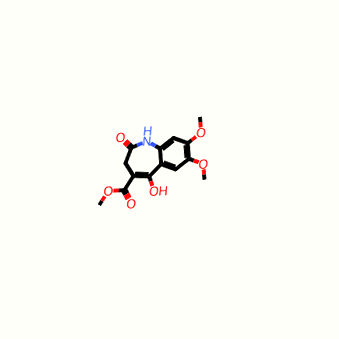 COC(=O)C1=C(O)c2cc(OC)c(OC)cc2NC(=O)C1